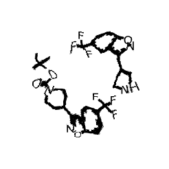 CC(C)(C)OC(=O)N1CCC(c2noc3ccc(C(F)(F)F)cc23)CC1.FC(F)(F)c1ccc2onc(C3CCNCC3)c2c1